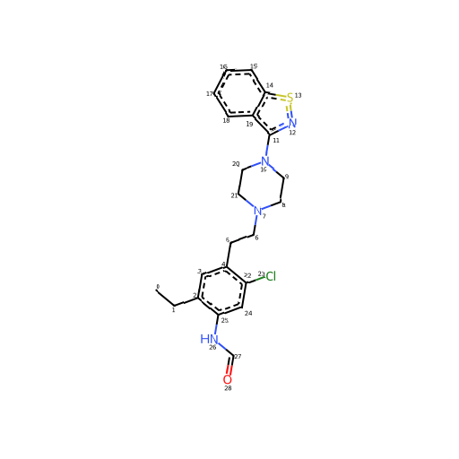 CCc1cc(CCN2CCN(c3nsc4ccccc34)CC2)c(Cl)cc1NC=O